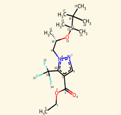 CCOC(=O)c1cnn(C[C@H](C)O[Si](C)(C)C(C)(C)C)c1C(F)(F)F